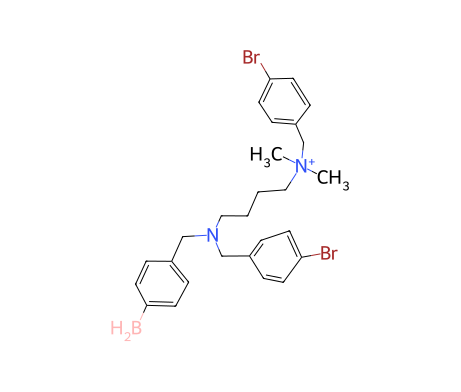 Bc1ccc(CN(CCCC[N+](C)(C)Cc2ccc(Br)cc2)Cc2ccc(Br)cc2)cc1